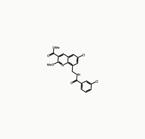 COC(=O)c1cc2cc(Cl)cc(CNC(=O)c3cccc(Cl)c3)c2nc1OC